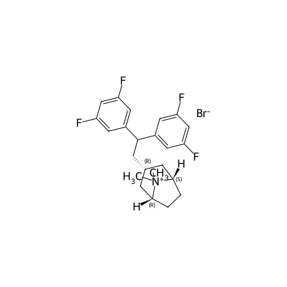 C[N+]1(C)[C@@H]2CC[C@H]1C[C@@H](CC(c1cc(F)cc(F)c1)c1cc(F)cc(F)c1)C2.[Br-]